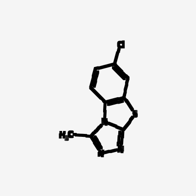 Cc1nnc2sc3cc(Cl)ccc3n12